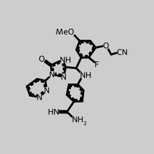 COc1cc(OCC#N)c(F)c(C(Nc2ccc(C(=N)N)cc2)c2nn(-c3cccnn3)c(=O)[nH]2)c1